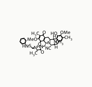 COC1=C(C)C(=O)C2=C(C1=O)[C@H](CNC(=O)C(C)/N=C/SNc1ccccc1)N1C(C2)[C@@H]2c3c(cc(C)c(OC)c3O)C[C@H]([C@@H]1C#N)N2C